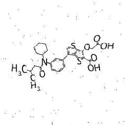 CC(C)CC(=O)N(c1cccc(-c2csc3c(OCC(=O)O)c(C(=O)O)sc23)c1)C1CCCCC1